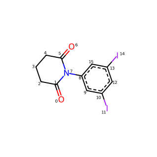 O=C1CCCC(=O)N1c1cc(I)cc(I)c1